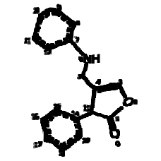 O=C1OC=C(CNc2ccccc2)C1c1ccccc1